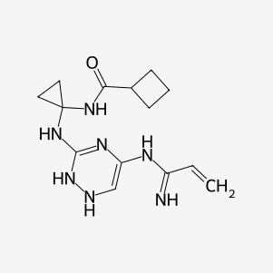 C=CC(=N)NC1=CNNC(NC2(NC(=O)C3CCC3)CC2)=N1